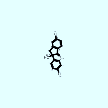 O=C1c2ccc(Cl)cc2CC1(O)c1ccc(Cl)cc1